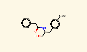 COc1ccc(CC(CO)NC(=O)Cc2ccccc2)cc1